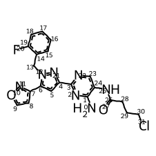 Nc1nc(-c2cc(-c3ccon3)n(Cc3ccccc3F)n2)ncc1NC(=O)CCCCl